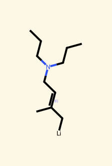 [Li][CH2]/C(C)=C/CN(CCC)CCC